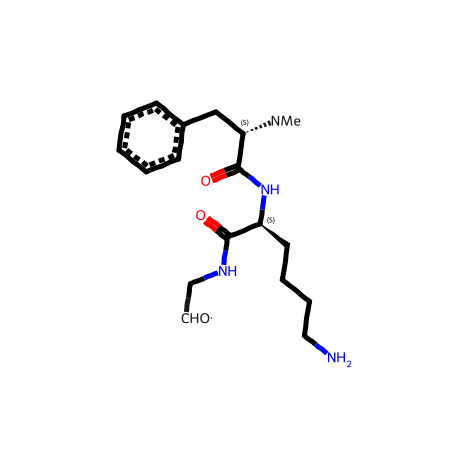 CN[C@@H](Cc1ccccc1)C(=O)N[C@@H](CCCCN)C(=O)NC[C]=O